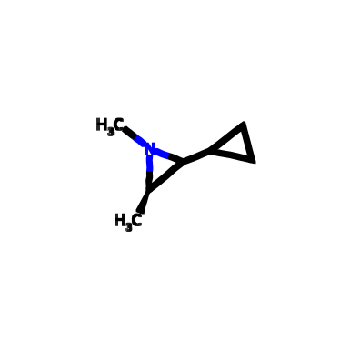 C[C@@H]1C(C2CC2)N1C